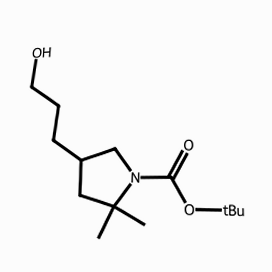 CC(C)(C)OC(=O)N1CC(CCCO)CC1(C)C